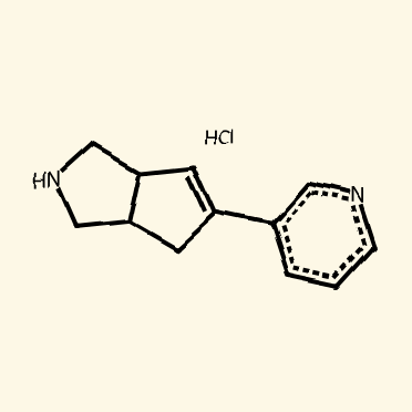 C1=C(c2cccnc2)CC2CNCC12.Cl